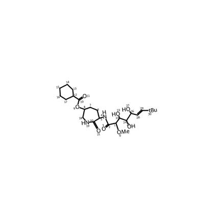 COC(C(=O)NC1CCC(OC(=O)C2CCCCC2)CNC1=O)C(O)C(O)C(O)/C=C/C(C)(C)C